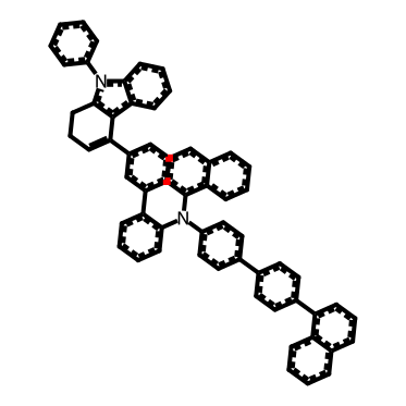 C1=C(c2cccc(-c3ccccc3N(c3ccc(-c4ccc(-c5cccc6ccccc56)cc4)cc3)c3cccc4ccccc34)c2)c2c(n(-c3ccccc3)c3ccccc23)CC1